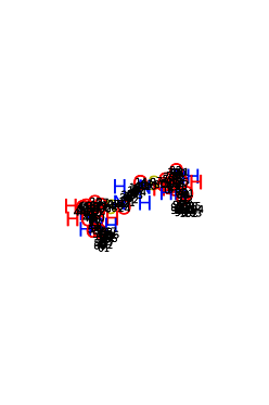 COC(=O)C1(OCCCSCCNC(=O)c2ccc(-c3ccc(C(=O)NCCSCCCOC4(C(=O)OC)CC(O)C(NC(C)=O)C(C(O)[C@H](O)CNC(=O)OCC5c6ccccc6-c6ccccc65)O4)cc3)cc2)CC(C)C(NC(C)=O)C(C(O)C(O)CNC(=O)OCC2c3ccccc3-c3ccccc32)O1